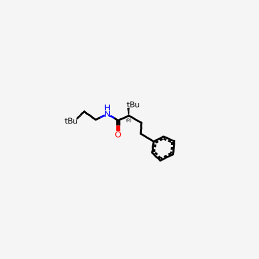 CC(C)(C)CCNC(=O)[C@H](CCc1ccccc1)C(C)(C)C